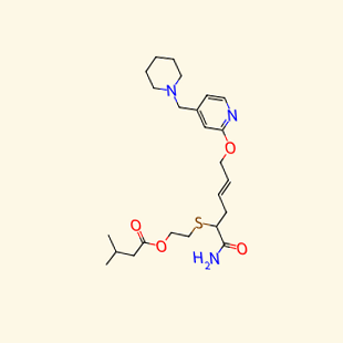 CC(C)CC(=O)OCCSC(CC=CCOc1cc(CN2CCCCC2)ccn1)C(N)=O